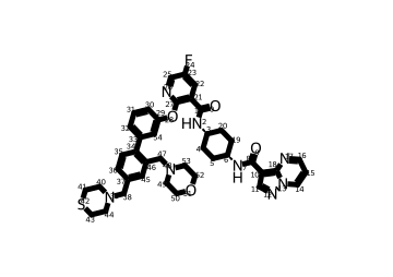 O=C(N[C@H]1CC[C@@H](NC(=O)c2cnn3cccnc23)CC1)c1cc(F)cnc1Oc1cccc(-c2ccc(CN3CCSCC3)cc2CN2CCOCC2)c1